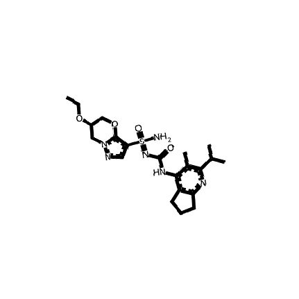 CCOC1COc2c(S(N)(=O)=NC(=O)Nc3c(C)c(C(C)C)nc4c3CCC4)cnn2C1